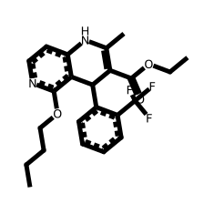 CCCCOc1nccc2c1C(c1ccccc1C(F)(F)F)C(C(=O)OCC)=C(C)N2